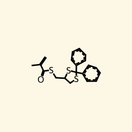 C=C(C)C(=O)SCC1CSC(c2ccccc2)(c2ccccc2)S1